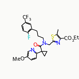 CCOC(=O)c1nc(CN(CCCc2cc(C(F)(F)F)ccc2F)C(=O)C2(c3ccc(OC)cn3)CC2)sc1C